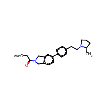 COCC(=O)N1Cc2ccc(-c3ccc(CCN4CCC[C@H]4C)cc3)cc2C1